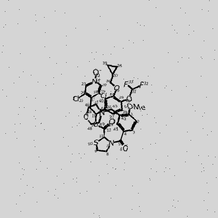 COc1ccc(C(=O)N2CCS[C@H]2C(=O)OC(Cc2c(Cl)c[n+]([O-])cc2Cl)c2ccc(OC(F)F)c(OCC3CC3)c2)cc1CN1CCOCC1